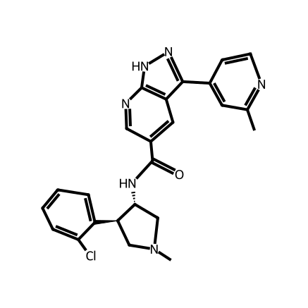 Cc1cc(-c2n[nH]c3ncc(C(=O)N[C@@H]4CN(C)C[C@H]4c4ccccc4Cl)cc23)ccn1